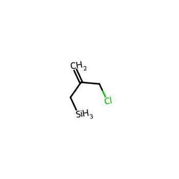 C=C(C[SiH3])CCl